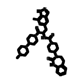 Cc1cc(CC(NC(=O)N2CCC(N3CCc4ccccc4NC3=O)CC2)C(=O)N2CCC(N3CCN(C)CC3)CC2)cc2cn[nH]c12